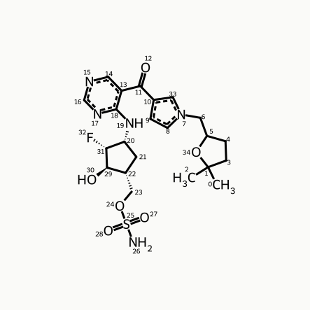 CC1(C)CCC(Cn2ccc(C(=O)c3cncnc3N[C@@H]3C[C@H](COS(N)(=O)=O)[C@@H](O)[C@@H]3F)c2)O1